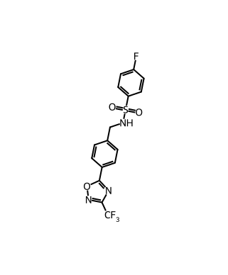 O=S(=O)(NCc1ccc(-c2nc(C(F)(F)F)no2)cc1)c1ccc(F)cc1